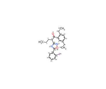 CCCC(C(=O)c1cc(CC)ccc1CC)c1noc(-c2ccccc2I)n1